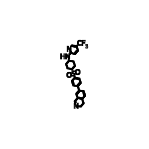 O=S(=O)(c1ccc(-c2ccc3c(c2)C=NCC3)cc1)[C@H]1CC[C@H](Nc2ccc(C(F)(F)F)cn2)CC1